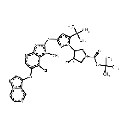 Cn1c(Nc2cc(C(C)(C)C)n(C3CN(C(=O)OC(C)(C)C)C[C@H]3F)n2)nc2ncc(Oc3cnn4ccncc34)c(Cl)c21